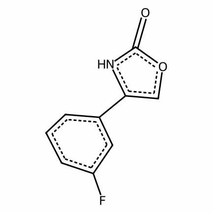 O=c1[nH]c(-c2cccc(F)c2)co1